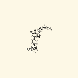 C[C@H]1C[C@H]1c1nc(-c2cnn3c(C4CCN(C(=O)OC(C)(C)C)CC4)cc(=O)[nH]c23)no1